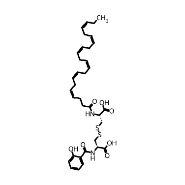 CC/C=C\C/C=C\C/C=C\C/C=C\C/C=C\C/C=C\CCC(=O)N[C@@H](CSSC[C@H](NC(=O)c1ccccc1O)C(=O)O)C(=O)O